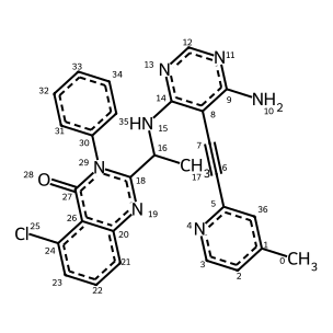 Cc1ccnc(C#Cc2c(N)ncnc2NC(C)c2nc3cccc(Cl)c3c(=O)n2-c2ccccc2)c1